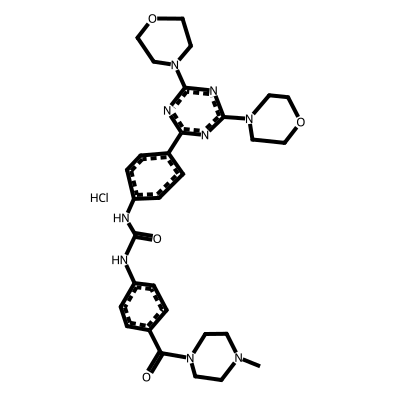 CN1CCN(C(=O)c2ccc(NC(=O)Nc3ccc(-c4nc(N5CCOCC5)nc(N5CCOCC5)n4)cc3)cc2)CC1.Cl